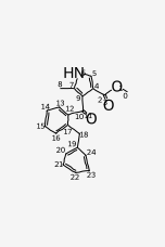 COC(=O)c1c[nH]c(C)c1C(=O)c1ccccc1Cc1ccccc1